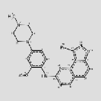 COc1cc(N2CCN(C)CC2)ccc1Nc1ncc2ccc3onc(C(C)C)c3c2n1